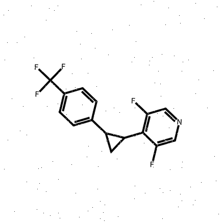 Fc1cncc(F)c1C1CC1c1ccc(C(F)(F)F)cc1